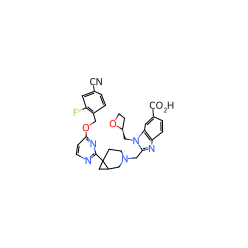 N#Cc1ccc(COc2ccnc(C34CCN(Cc5nc6ccc(C(=O)O)cc6n5C[C@@H]5CCO5)CC3C4)n2)c(F)c1